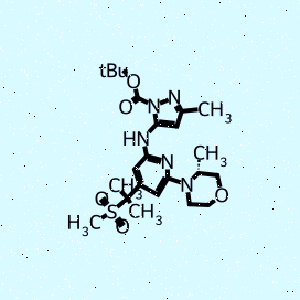 Cc1cc(Nc2cc(C(C)(C)S(C)(=O)=O)cc(N3CCOC[C@H]3C)n2)n(C(=O)OC(C)(C)C)n1